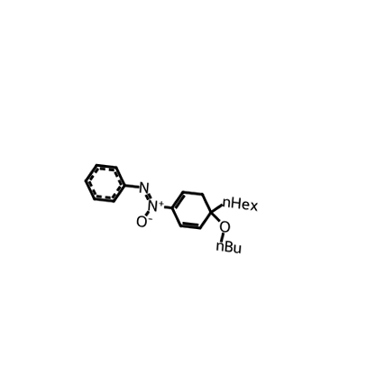 CCCCCCC1(OCCCC)C=CC([N+]([O-])=Nc2ccccc2)=CC1